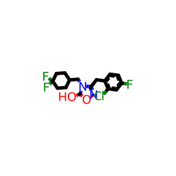 OC1ON=C(Cc2ccc(F)cc2Cl)N1CC1CCC(F)(F)CC1